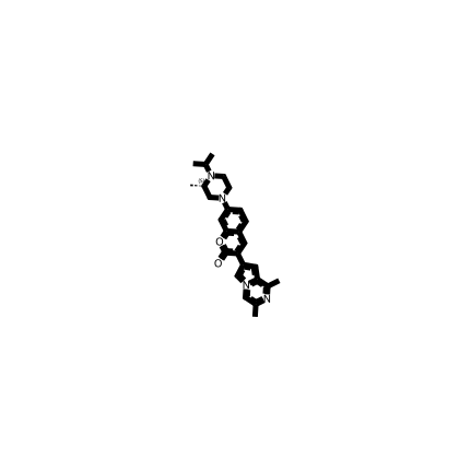 Cc1cn2cc(-c3cc4ccc(N5CCN(C(C)C)[C@@H](C)C5)cc4oc3=O)cc2c(C)n1